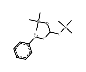 C[Si](C)(C)OC(O[SiH2]c1ccccc1)O[Si](C)(C)C